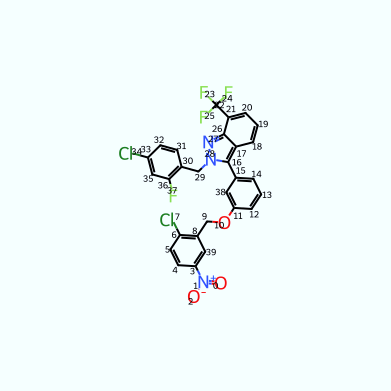 O=[N+]([O-])c1ccc(Cl)c(COc2cccc(-c3c4cccc(C(F)(F)F)c4nn3Cc3ccc(Cl)cc3F)c2)c1